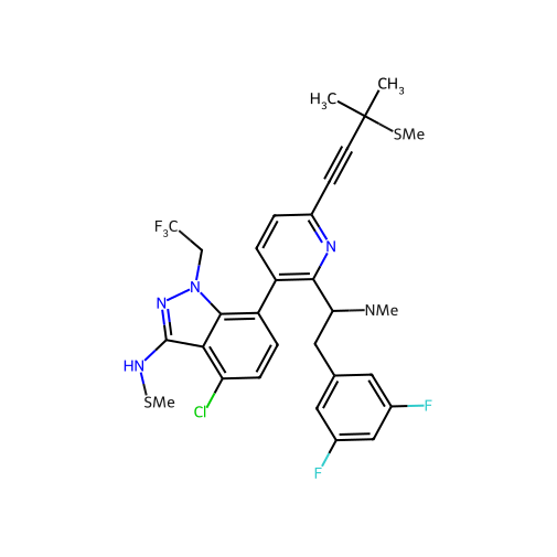 CNC(Cc1cc(F)cc(F)c1)c1nc(C#CC(C)(C)SC)ccc1-c1ccc(Cl)c2c(NSC)nn(CC(F)(F)F)c12